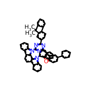 CC1(C)c2ccccc2-c2ccc(-c3nc(-c4ccccc4)nc(-n4c5ccccc5c5ccc6c7ccccc7n(-c7cccc8c7oc7ccc(-c9ccccc9)cc78)c6c54)n3)cc21